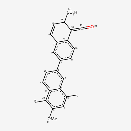 COc1cc(C)c2cc(-c3ccc4c(c3)C=CC(C(=O)O)C4=C=O)ccc2c1C